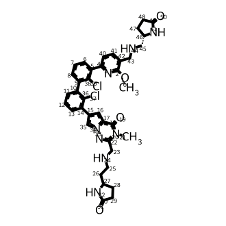 COc1nc(-c2cccc(-c3cccc(-c4cc5c(=O)n(C)c(CNCCC6CCC(=O)N6)nn5c4)c3Cl)c2Cl)ccc1CNC[C@@H]1CCC(=O)N1